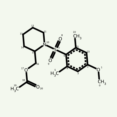 COc1cc(C)c(S(=O)(=O)N2CCCCC2COC(C)=O)c(C)c1